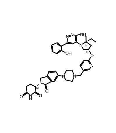 CC[C@]12CNc3nnc(-c4ccccc4O)cc3N1C[C@H](Oc1ccc(CN3CCN(c4ccc5c(c4)C(=O)N([C@H]4CCC(=O)NC4=O)C5)CC3)cn1)C2